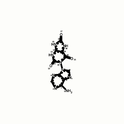 Nc1ncnc2c1ncn2-n1c(=O)[nH]c2[nH]c(=O)[nH]c2c1=O